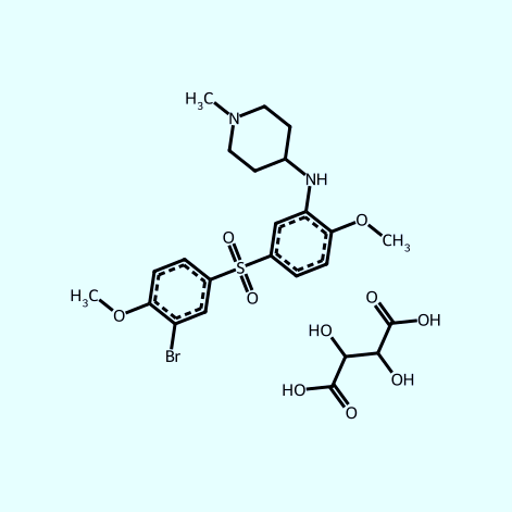 COc1ccc(S(=O)(=O)c2ccc(OC)c(NC3CCN(C)CC3)c2)cc1Br.O=C(O)C(O)C(O)C(=O)O